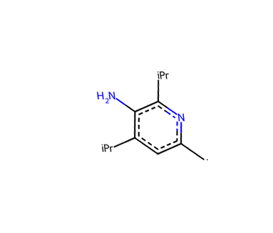 [CH2]c1cc(C(C)C)c(N)c(C(C)C)n1